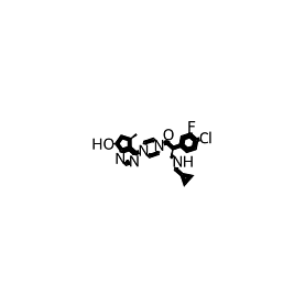 C[C@@H]1C[C@@H](O)c2ncnc(N3CCN(C(=O)[C@H](CNCC4CC4)c4ccc(Cl)c(F)c4)CC3)c21